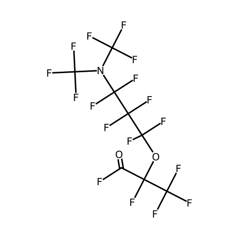 O=C(F)C(F)(OC(F)(F)C(F)(F)C(F)(F)N(C(F)(F)F)C(F)(F)F)C(F)(F)F